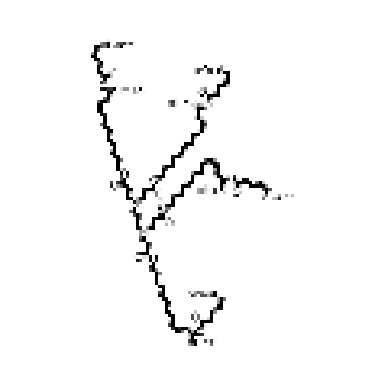 CCCCC/C=C\CCC(=O)OC(C/C=C\CCCCCCCCOC(=O)CCN(CCCN(CCC(=O)OCCCCCCCC/C=C\CC(CCCCCC)OC(=O)CC/C=C\CCCCC)CCC(=O)OCCCCCCCC/C=C\CC(CCCCCC)OC(=O)CC/C=C\CCCCC)CCC(=O)OCCCCCCCC/C=C\CC(CCCCCC)OC(=O)CC/C=C\CCCCC)CCCCCC